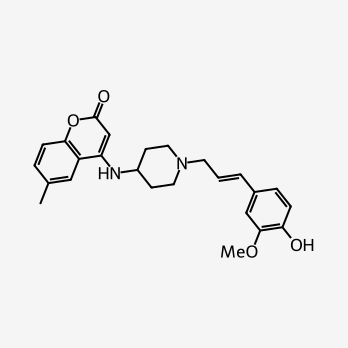 COc1cc(C=CCN2CCC(Nc3cc(=O)oc4ccc(C)cc34)CC2)ccc1O